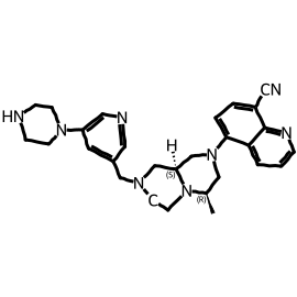 C[C@@H]1CN(c2ccc(C#N)c3ncccc23)C[C@@H]2CN(Cc3cncc(N4CCNCC4)c3)CCN21